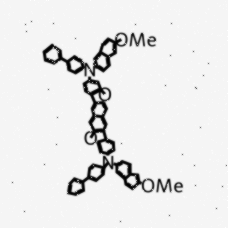 COc1ccc2cc(N(c3ccc(-c4ccccc4)cc3)c3ccc4c(c3)oc3cc5cc6c(cc5cc34)oc3cc(N(c4ccc(-c5ccccc5)cc4)c4ccc5cc(OC)ccc5c4)ccc36)ccc2c1